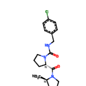 O=C(O)[C@@H]1CCCN1C(=O)[C@@H]1CCCN1C(=O)NCc1ccc(Cl)cc1